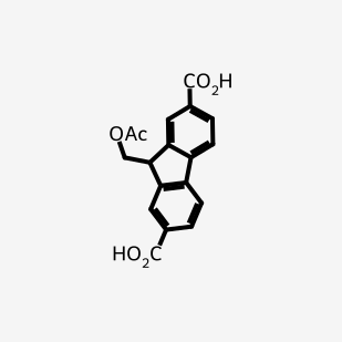 CC(=O)OCC1c2cc(C(=O)O)ccc2-c2ccc(C(=O)O)cc21